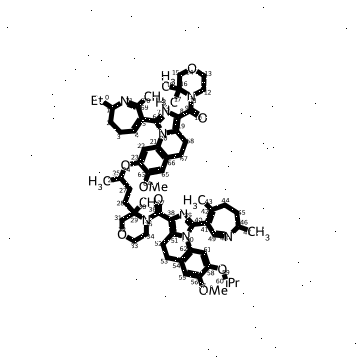 CCC1CCC=C(c2nc(C(=O)N3CCOCC3(C)C)c3n2-c2cc(OC(C)CCC4(C)COCCN4C(=O)c4nc(C5=C(C)CCC(C)N=C5)n5c4CCc4cc(OC)c(OC(C)C)cc4-5)c(OC)cc2CC3)C(C)=N1